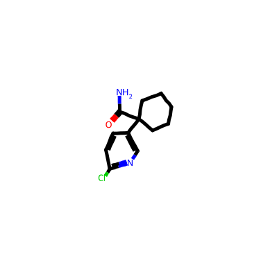 NC(=O)C1(c2ccc(Cl)nc2)CCCCC1